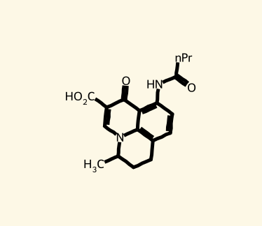 CCCC(=O)Nc1ccc2c3c1c(=O)c(C(=O)O)cn3C(C)CC2